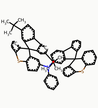 CC(C)(C)c1ccc2c(c1)C1(c3ccccc3Sc3ccc(N(c4ccccc4)c4ccc5c(c4)C4(c6ccccc6Sc6ccccc64)c4ccccc4-5)cc31)c1cc(C(C)(C)C)ccc1-2